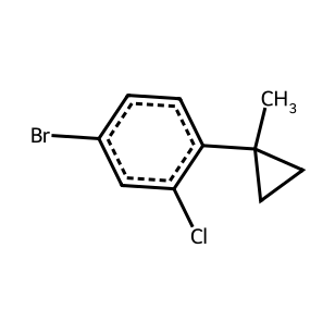 CC1(c2ccc(Br)cc2Cl)CC1